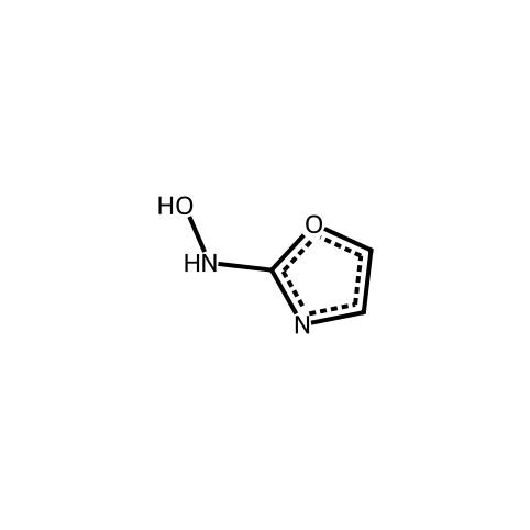 ONc1ncco1